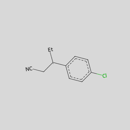 CC[C](CC#N)c1ccc(Cl)cc1